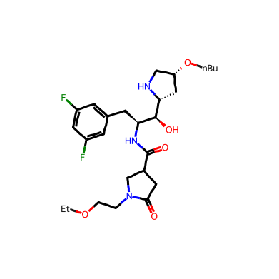 CCCCO[C@H]1CN[C@@H]([C@@H](O)[C@H](Cc2cc(F)cc(F)c2)NC(=O)C2CC(=O)N(CCOCC)C2)C1